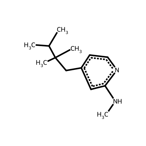 CNc1cc(CC(C)(C)C(C)C)ccn1